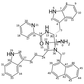 N[C@]1([C@@H](Cc2c[nH]c3ccccc23)NC(=O)c2ccccn2)N=C(CCCc2c[nH]c3ccccc23)N1Cc1cccc2ccccc12